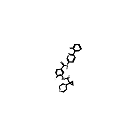 O=C(Nc1ccc(-c2ccccc2F)nc1)c1ccc(F)c(NC(=O)C2(N3CCOCC3)CC2)c1